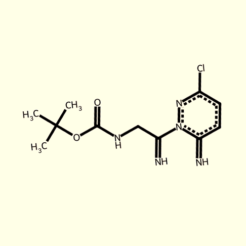 CC(C)(C)OC(=O)NCC(=N)n1nc(Cl)ccc1=N